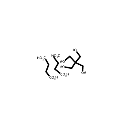 O=C(O)CCC(=O)O.O=C(O)CCC(=O)O.OCC(CO)(CO)CO